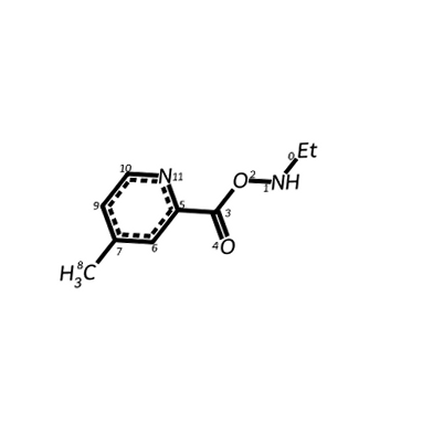 CCNOC(=O)c1cc(C)ccn1